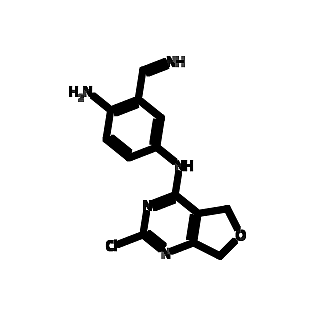 N=Cc1cc(Nc2nc(Cl)nc3c2COC3)ccc1N